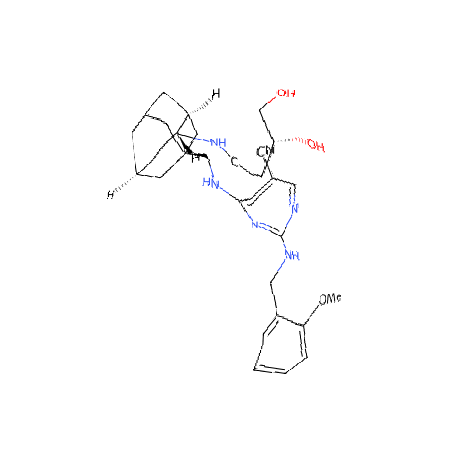 COc1ccccc1CNc1ncc(C#N)c(NC[C@]23CC4C[C@H](C2)[C@@H](NCC[C@@H](O)CO)[C@@H](C4)C3)n1